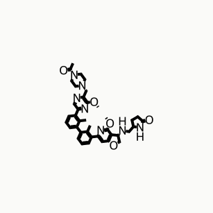 COc1nc(-c2cccc(-c3cccc(-c4cc5c(c(OC)n4)C(NCC4CCC(=O)N4)CO5)c3C)c2C)cnc1CN1CCN(C(C)=O)CC1